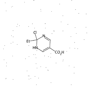 CCC1(Cl)N=CC(C(=O)O)=CN1